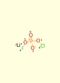 O=P([O-])(OF)OCl.[Li+]